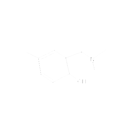 CC1=CC(CN(C)C)C(O)C=C1